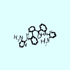 Nc1cccnc1Nc1ccccc1C(=O)c1ccccc1-c1ccccc1Nc1ncccc1N